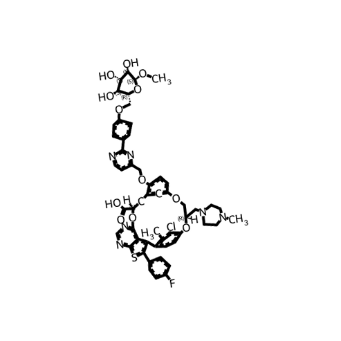 CO[C@H]1O[C@H](COc2ccc(-c3nccc(COc4ccc5cc4C[C@@H](C(=O)O)Oc4ncnc6sc(-c7ccc(F)cc7)c(c46)-c4ccc(c(Cl)c4C)O[C@H](CN4CCN(C)CC4)CO5)n3)cc2)[C@@H](O)[C@H](O)[C@@H]1O